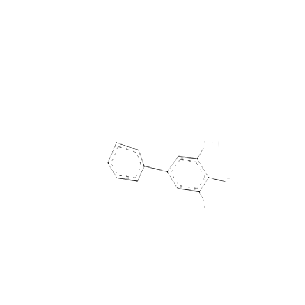 Cc1cc(-c2[c]cccc2)cc(C)c1F